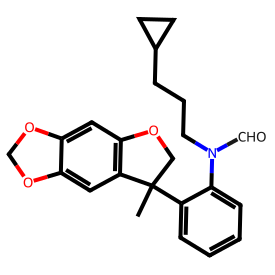 CC1(c2ccccc2N(C=O)CCCC2CC2)COc2cc3c(cc21)OCO3